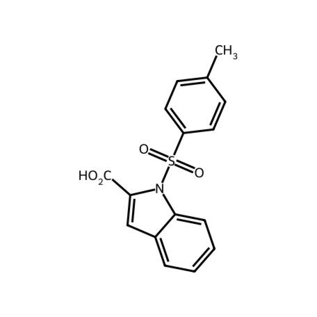 Cc1ccc(S(=O)(=O)n2c(C(=O)O)cc3ccccc32)cc1